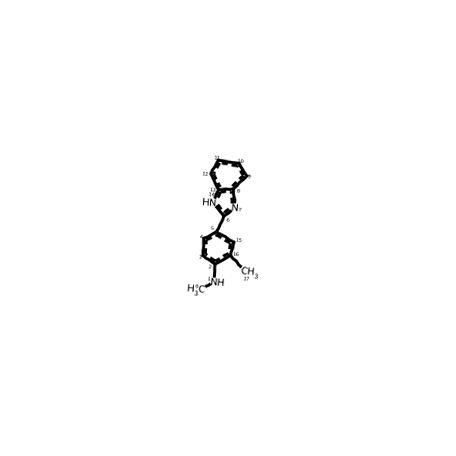 CNc1ccc(-c2nc3ccccc3[nH]2)cc1C